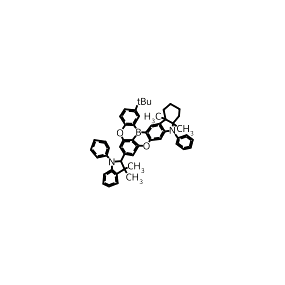 CC(C)(C)c1ccc2c(c1)B1c3cc4c(cc3Oc3cc(C5N(c6ccccc6)c6ccccc6C5(C)C)cc(c31)O2)N(c1ccccc1)C1(C)CCCCC41C